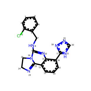 Clc1ccccc1CNC1=Nc2c(cccc2-c2nnc[nH]2)C2=NCCN12